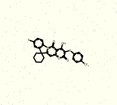 O=c1oc2cc3n(c(=O)c2c(O)c1Sc1ccc(C(F)(F)F)cc1)-c1ccc(F)cc1C31CCCCC1